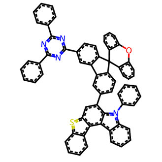 c1ccc(-c2nc(-c3ccccc3)nc(-c3ccc4c(c3)-c3cc(-c5cc6sc7ccccc7c6c6c7ccccc7n(-c7ccccc7)c56)ccc3C43c4ccccc4Oc4ccccc43)n2)cc1